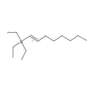 CCCCCC/C=C/[Si](CC)(CC)CC